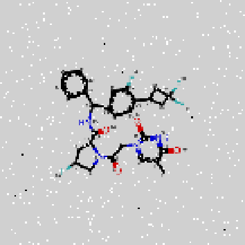 Cc1cn(CC(=O)N2CC(F)CC2C(=O)NC(c2ccccc2)c2ccc(C3CC(F)(F)C3)c(F)c2)c(=O)[nH]c1=O